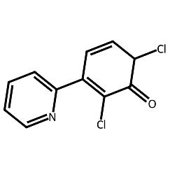 O=C1C(Cl)=C(c2ccccn2)C=CC1Cl